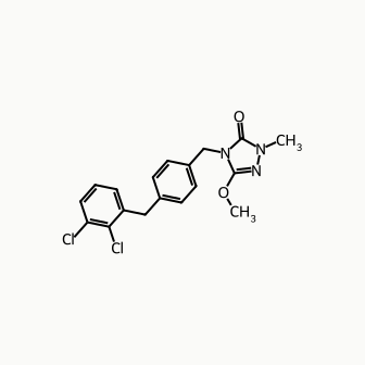 COc1nn(C)c(=O)n1Cc1ccc(Cc2cccc(Cl)c2Cl)cc1